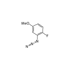 COc1ccc(F)c(N=[N+]=[N-])c1